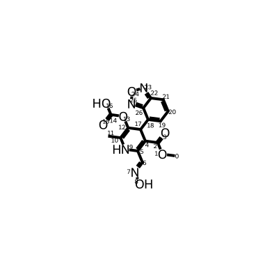 COC(=O)C1=C(C=NO)NC(C)=C(OC(=O)O)C1c1cccc2nonc12